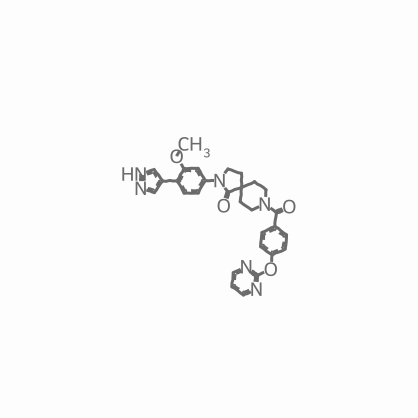 COc1cc(N2CCC3(CCN(C(=O)c4ccc(Oc5ncccn5)cc4)CC3)C2=O)ccc1-c1cn[nH]c1